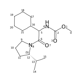 COC(=O)NC(C(=O)N1CCC[C@H]1C(C)C)C1CCCCC1